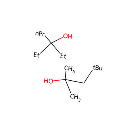 CC(C)(C)CC(C)(C)O.CCCC(O)(CC)CC